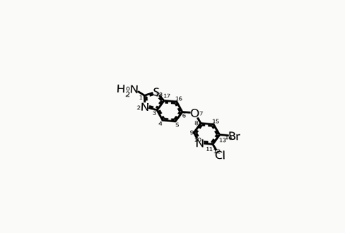 Nc1nc2ccc(Oc3cnc(Cl)c(Br)c3)cc2s1